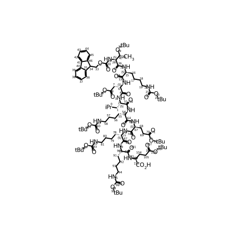 CC(C)C[C@H](NC(=O)[C@H](CC(=O)OC(C)(C)C)NC(=O)[C@H](CCCCNC(=O)OC(C)(C)C)NC(=O)[C@@H](NC(=O)OCC1c2ccccc2-c2ccccc21)[C@@H](C)OC(C)(C)C)C(=O)N[C@@H](CCCCNC(=O)OC(C)(C)C)C(=O)N[C@@H](CCC(=O)OC(C)(C)C)C(=O)N[C@@H](CCCCNC(=O)OC(C)(C)C)C(=O)N[C@@H](CCCCNC(=O)OC(C)(C)C)C(=O)N[C@@H](CCC(=O)OC(C)(C)C)C(=O)O